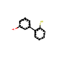 Oc1cccc(-c2ccccc2S)c1